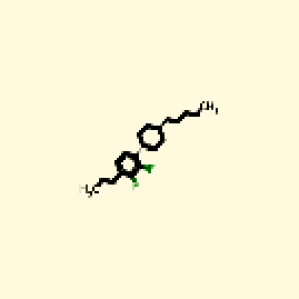 CCCCC[C@H]1CC[C@H](c2ccc(CCC)c(F)c2F)CC1